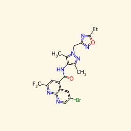 CCc1nc(Cn2nc(C)c(NC(=O)c3cc(C(F)(F)F)nc4ncc(Br)cc34)c2C)no1